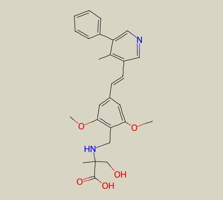 COc1cc(/C=C/c2cncc(-c3ccccc3)c2C)cc(OC)c1CNC(C)(CO)C(=O)O